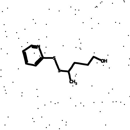 CC(CCCO)SSc1ccccn1